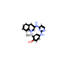 COc1cc(Nc2nccc(Nc3cnc4ccccc4c3)n2)ccc1O